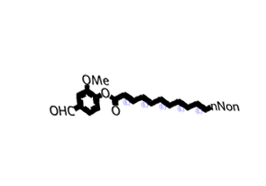 CCCCCCCCC/C=C/C=C/C=C/C=C/C=C/C(=O)Oc1ccc(C=O)cc1OC